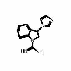 N=C(N)N1CC(n2ccnc2)c2ccccc21